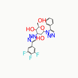 OC[C@H]1O[C@@H](n2nncc2-c2ccccc2)[C@H](O)[C@@H](n2cc(-c3cc(F)c(F)c(F)c3)nn2)[C@H]1O